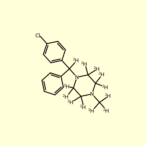 [2H]C([2H])([2H])N1C([2H])([2H])C([2H])([2H])N(C([2H])(c2ccccc2)c2ccc(Cl)cc2)C([2H])([2H])C1([2H])[2H]